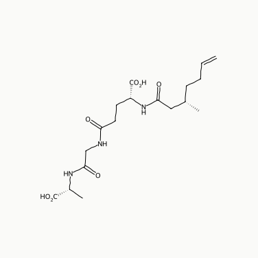 C=CCC[C@H](C)CC(=O)N[C@H](CCC(=O)NCC(=O)N[C@H](C)C(=O)O)C(=O)O